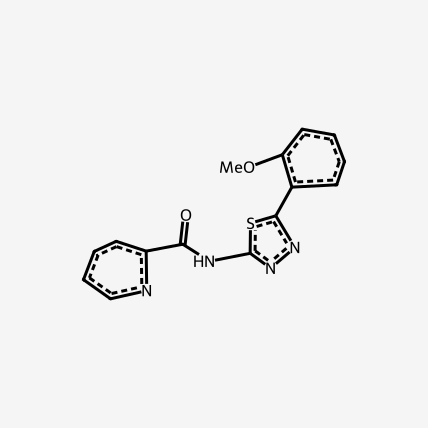 COc1ccccc1-c1nnc(NC(=O)c2ccccn2)s1